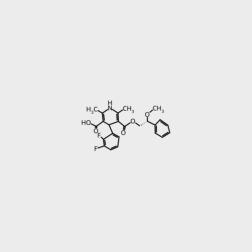 CO[C@@H](COC(=O)C1=C(C)NC(C)=C(C(=O)O)C1c1cccc(F)c1F)c1ccccc1